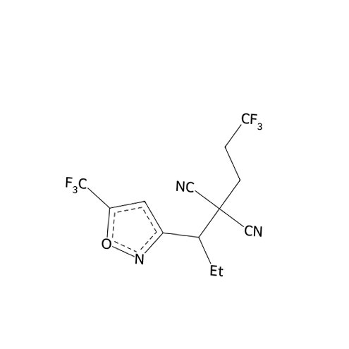 CCC(c1cc(C(F)(F)F)on1)C(C#N)(C#N)CCC(F)(F)F